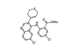 COC(=O)c1cc(Cl)ccc1Nc1c(C2=CCSCC2)cnc2ccc(Cl)cc12